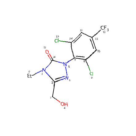 CCn1c(CO)nn(-c2c(Cl)cc(C(F)(F)F)cc2Cl)c1=O